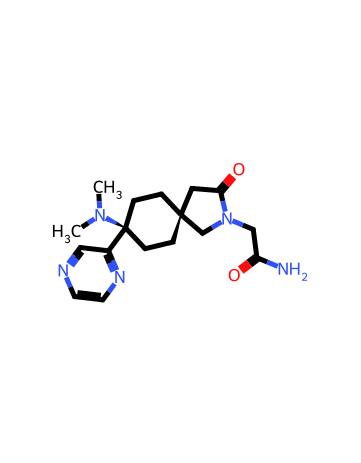 CN(C)[C@]1(c2cnccn2)CC[C@@]2(CC1)CC(=O)N(CC(N)=O)C2